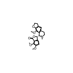 COc1ccc2c(c1OC)C(=O)O[C@@H]2C1c2c(cc3c(c2OC)OCC3)CCN1C